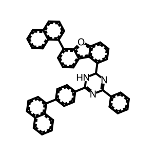 c1ccc(C2=NC(c3cccc4oc5c(-c6cccc7ccccc67)cccc5c34)NC(c3ccc(-c4cccc5ccccc45)cc3)=N2)cc1